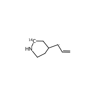 C=C[CH]C1CCN[14CH2]C1